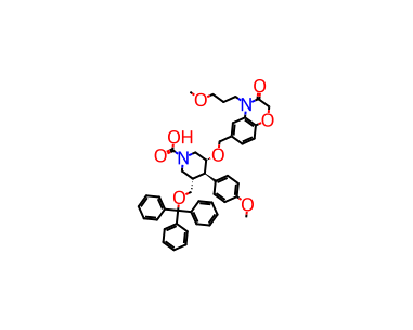 COCCCN1C(=O)COc2ccc(CO[C@H]3CN(C(=O)O)C[C@@H](COC(c4ccccc4)(c4ccccc4)c4ccccc4)[C@@H]3c3ccc(OC)cc3)cc21